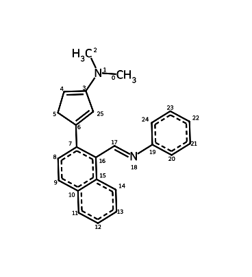 CN(C)C1=CCC(c2ccc3ccccc3c2C=Nc2ccccc2)=C1